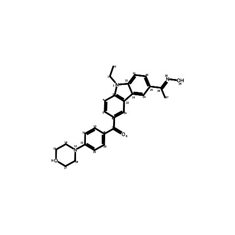 CCn1c2ccc(C(=O)c3ccc(N4CCOCC4)cc3)cc2c2cc(/C(C)=N/O)ccc21